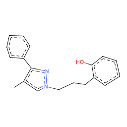 Cc1cn(CCCc2ccccc2O)nc1-c1ccccc1